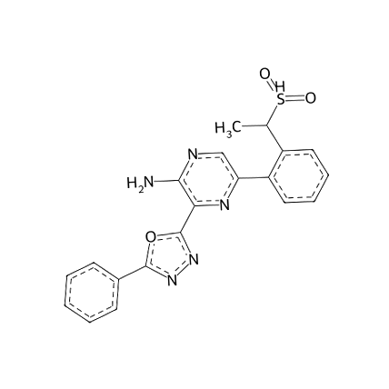 CC(c1ccccc1-c1cnc(N)c(-c2nnc(-c3ccccc3)o2)n1)[SH](=O)=O